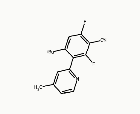 CCC(C)c1cc(F)c(C#N)c(F)c1-c1cc(C)ccn1